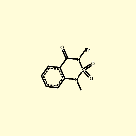 CC(C)N1C(=O)c2ccccc2N(C)S1(=O)=O